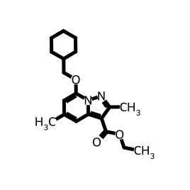 CCOC(=O)c1c(C)nn2c(OCC3CCCCC3)cc(C)cc12